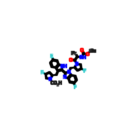 CC(C)C(NC(=O)OC(C)(C)C)C(=O)N1C[C@@H](F)C[C@H]1Cn1c(-c2[nH]c3cc(F)ccc3c2C[C@@H]2C[C@H](F)CN2C(=O)O)nc2cc(F)ccc21